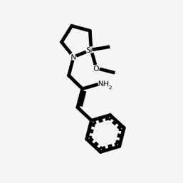 CO[Si]1(C)CCCN1CC(N)=Cc1ccccc1